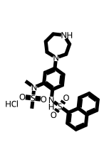 CN(c1cc(N2CCCNCC2)ccc1NS(=O)(=O)c1cccc2ccccc12)S(C)(=O)=O.Cl